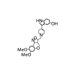 COc1cc2c(cc1OC)C1=NOC(CN3CC=C(c4c[nH]c5ccc(O)cc45)CC3)C1CO2